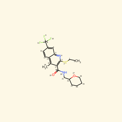 CCSc1nc2cc(C(F)(F)F)ccc2c(C)c1C(=O)NCC1CCCCO1